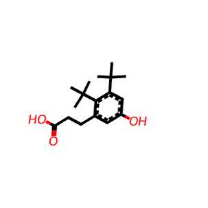 CC(C)(C)c1cc(O)cc(CCC(=O)O)c1C(C)(C)C